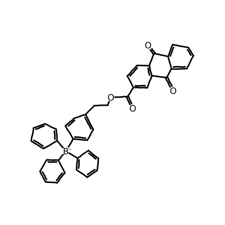 O=C(OCCc1ccc([B-](c2ccccc2)(c2ccccc2)c2ccccc2)cc1)c1ccc2c(c1)C(=O)c1ccccc1C2=O